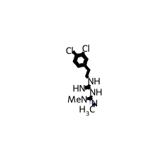 C/N=C(\NC)NC(=N)NCCc1ccc(Cl)c(Cl)c1